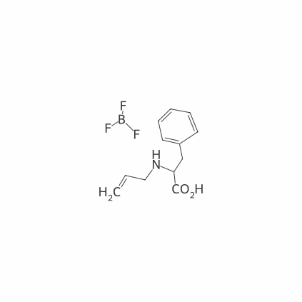 C=CCNC(Cc1ccccc1)C(=O)O.FB(F)F